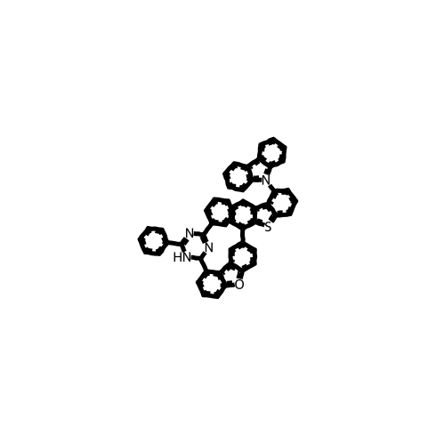 c1ccc(C2=NC(c3cccc4oc5ccc(-c6cccc7c6sc6cccc(-n8c9ccccc9c9ccccc98)c67)cc5c34)NC(c3ccccc3)=N2)cc1